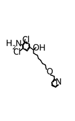 Nc1c(Cl)cc(C(O)CCCCCCCOCCc2ccccn2)cc1Cl